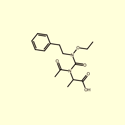 CCON(CCc1ccccc1)C(=O)N(C(C)=O)C(C)C(=O)O